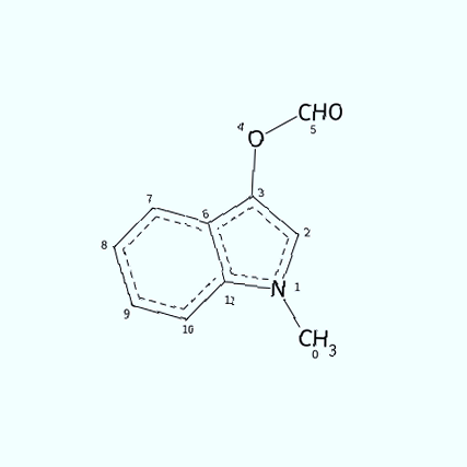 Cn1cc(OC=O)c2ccccc21